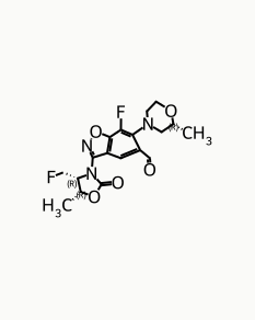 C[C@@H]1CN(c2c(C=O)cc3c(N4C(=O)O[C@H](C)[C@@H]4CF)noc3c2F)CCO1